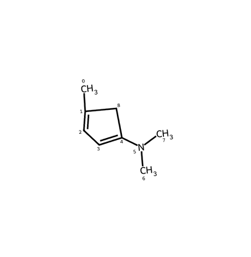 CC1=CC=C(N(C)C)C1